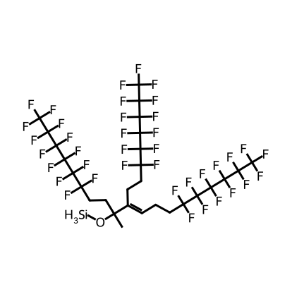 CC(CCC(F)(F)C(F)(F)C(F)(F)C(F)(F)C(F)(F)C(F)(F)F)(O[SiH3])C(=CCCC(F)(F)C(F)(F)C(F)(F)C(F)(F)C(F)(F)C(F)(F)F)CCC(F)(F)C(F)(F)C(F)(F)C(F)(F)C(F)(F)C(F)(F)F